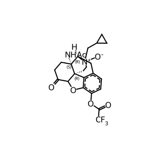 CC(=O)N[C@@]12CCC(=O)C3Oc4c(OC(=O)C(F)(F)F)ccc5c4[C@@]31CC[N+]([O-])(CC1CC1)[C@@H]2C5